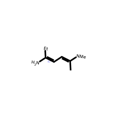 CC/C(N)=C\C=C(C)NC